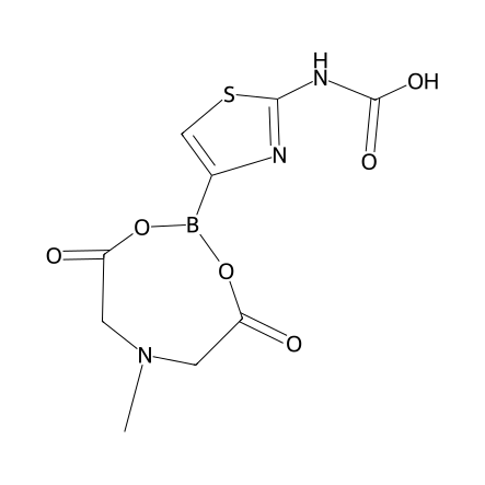 CN1CC(=O)OB(c2csc(NC(=O)O)n2)OC(=O)C1